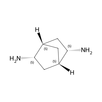 N[C@H]1C[C@@H]2C[C@H]1C[C@@H]2N